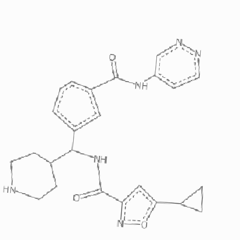 O=C(Nc1ccnnc1)c1cccc(C(NC(=O)c2cc(C3CC3)on2)C2CCNCC2)c1